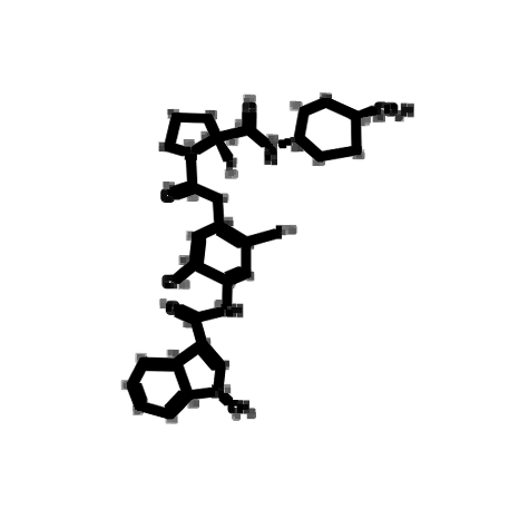 Cn1cc(C(=O)Nc2cc(F)c(CC(=O)N3CCC[C@]3(F)C(=O)N[C@H]3CC[C@H](C(=O)O)CC3)cc2Cl)c2ccccc21